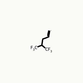 [CH]=CCC(C(F)(F)F)C(F)(F)F